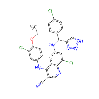 CCOc1ccc(Nc2c(C#N)cnc3c(Cl)cc(NC(c4ccc(Cl)cc4)c4c[nH]nn4)cc23)cc1Cl